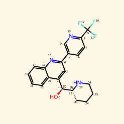 O[C@@H](c1cc(-c2ccc(C(F)(F)F)nc2)nc2ccccc12)[C@H]1CCCCN1